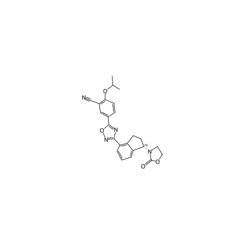 CC(C)Oc1ccc(-c2nc(-c3cccc4c3CC[C@@H]4N3CCOC3=O)no2)cc1C#N